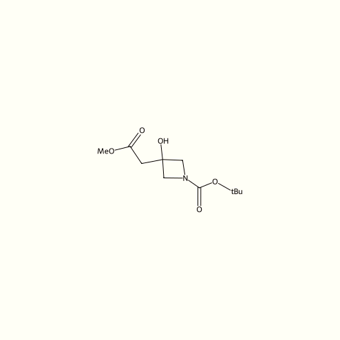 COC(=O)CC1(O)CN(C(=O)OC(C)(C)C)C1